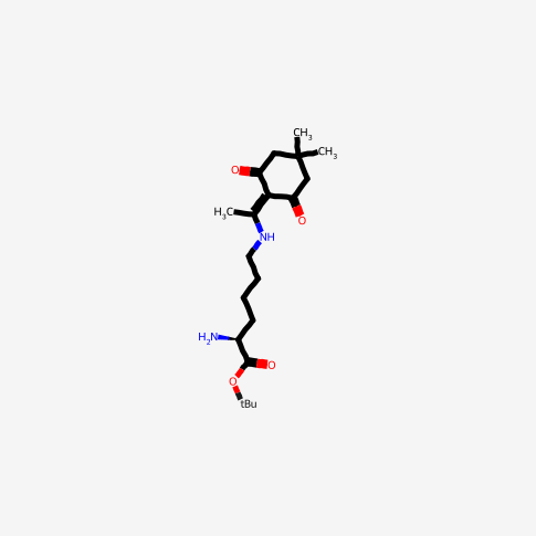 CC(NCCCC[C@H](N)C(=O)OC(C)(C)C)=C1C(=O)CC(C)(C)CC1=O